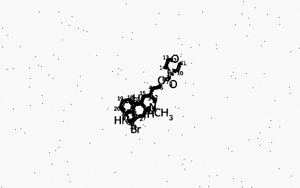 CN1CC(CCOC(=O)N2CCOCC2)C[C@H]2c3cccc4[nH]c(Br)c(c34)C[C@@H]21